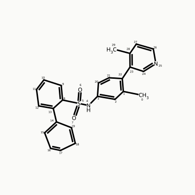 Cc1cc(NS(=O)(=O)c2ccccc2-c2ccccc2)ccc1-c1cnccc1C